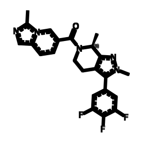 Cc1ncc2ccc(C(=O)N3CCc4c(nn(C)c4-c4cc(F)c(F)c(F)c4)[C@@H]3C)cn12